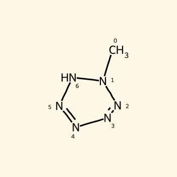 CN1N=NN=NN1